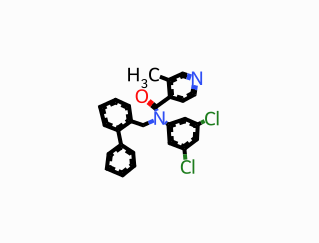 Cc1cnccc1C(=O)N(Cc1ccccc1-c1ccccc1)c1cc(Cl)cc(Cl)c1